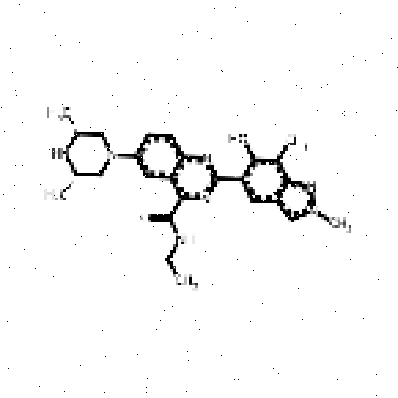 CCNC(=O)c1nc(-c2cc3cn(C)nc3c(C)c2O)nc2ccc(N3C[C@@H](C)N[C@@H](C)C3)cc12